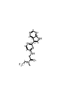 CN(CC(F)(F)F)C(=O)CNc1ccnc(-c2c[nH]c3ncncc23)n1